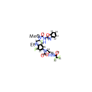 CCN(CCN(OC)C(=O)Nc1nc2ccccc2o1)c1c(F)cc(N2C[C@H](CNC(=O)C(F)F)OC2=O)cc1F